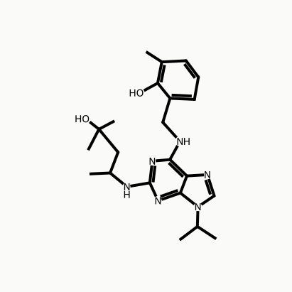 Cc1cccc(CNc2nc(NC(C)CC(C)(C)O)nc3c2ncn3C(C)C)c1O